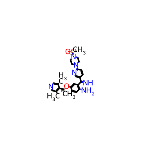 Cc1cncc(C)c1[C@@H](C)Oc1ccc(N)c(C(=N)c2ccc(N3CCN([S+](C)[O-])CC3)nc2)c1